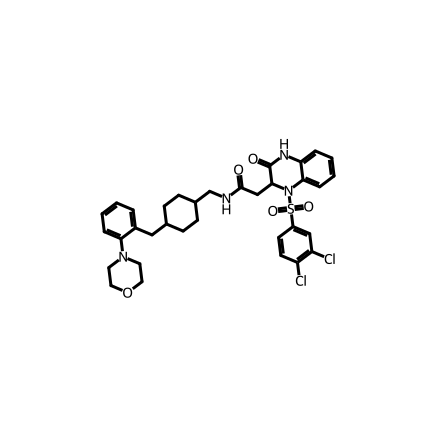 O=C(CC1C(=O)Nc2ccccc2N1S(=O)(=O)c1ccc(Cl)c(Cl)c1)NCC1CCC(Cc2ccccc2N2CCOCC2)CC1